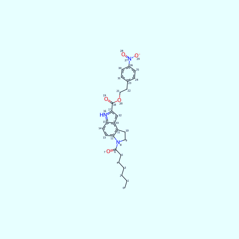 CCCCCCC(=O)N1CCc2c1ccc1[nH]c(C(=O)OCCc3ccc([N+](=O)[O-])cc3)cc21